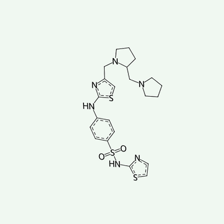 O=S(=O)(Nc1nccs1)c1ccc(Nc2nc(CN3CCCC3CN3CCCC3)cs2)cc1